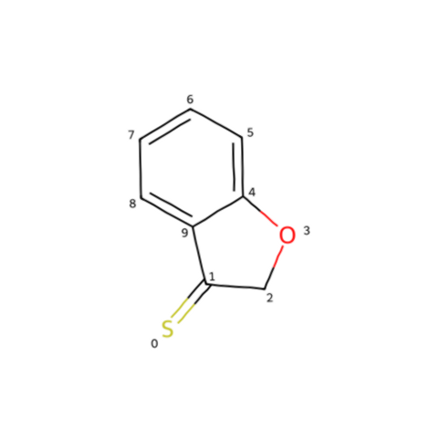 S=C1COc2ccccc21